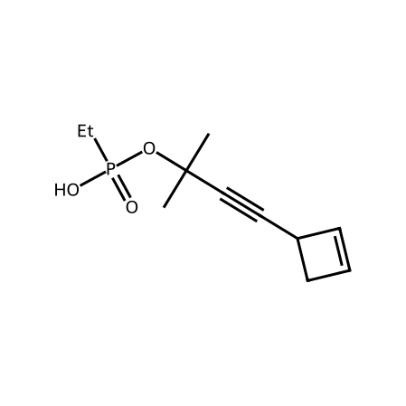 CCP(=O)(O)OC(C)(C)C#CC1C=CC1